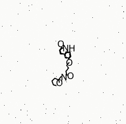 CN(CC1CCCCO1)C(=O)CCCOc1ccc2[nH]c(=O)ccc2c1